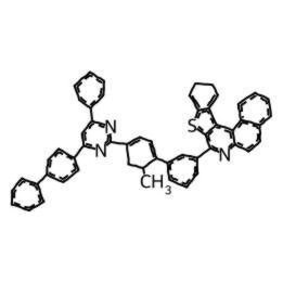 CC1CC(c2nc(-c3ccccc3)cc(-c3ccc(-c4ccccc4)cc3)n2)=CC=C1c1cccc(-c2nc3ccc4ccccc4c3c3c4c(sc23)=CCCC=4)c1